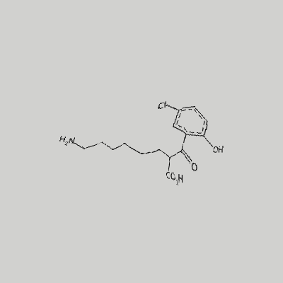 NCCCCCCC(C(=O)O)C(=O)c1cc(Cl)ccc1O